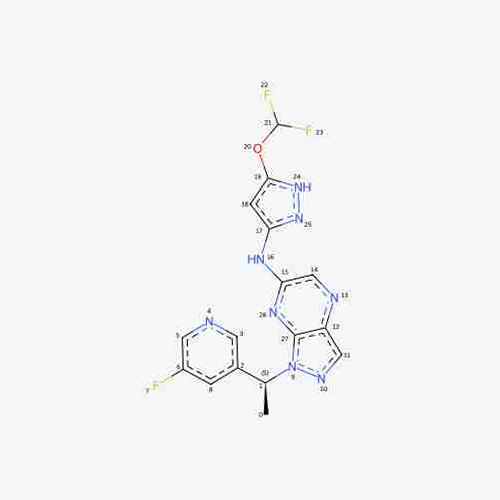 C[C@@H](c1cncc(F)c1)n1ncc2ncc(Nc3cc(OC(F)F)[nH]n3)nc21